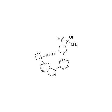 C#CC1(c2ccc3cnn(-c4cnnc(N5CC[C@@H](C(C)(C)O)C5)c4)c3c2)CCC1